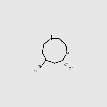 [Cl-].[Cl-].[Cl-].[Ti+3][N]1CCNCCNCC1